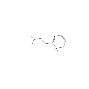 CC(C)CCC1=CC=CCC1(O)O